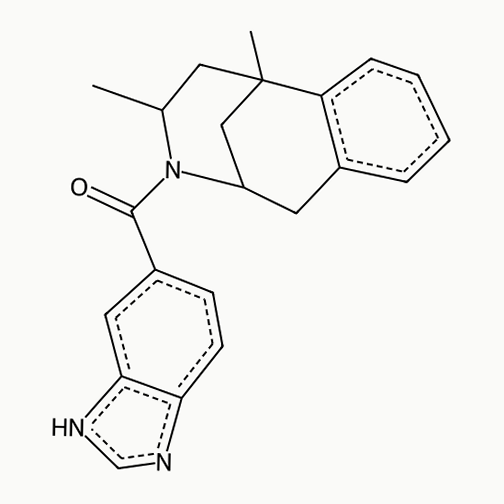 CC1CC2(C)CC(Cc3ccccc32)N1C(=O)c1ccc2nc[nH]c2c1